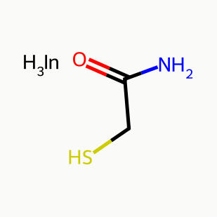 NC(=O)CS.[InH3]